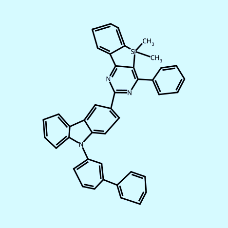 C[Si]1(C)c2ccccc2-c2nc(-c3ccc4c(c3)c3ccccc3n4-c3cccc(-c4ccccc4)c3)nc(-c3ccccc3)c21